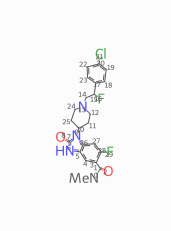 CNC(=O)c1cc2[nH]c(=O)n(C3CCN(CC(F)c4ccc(Cl)cc4)CC3)c2cc1F